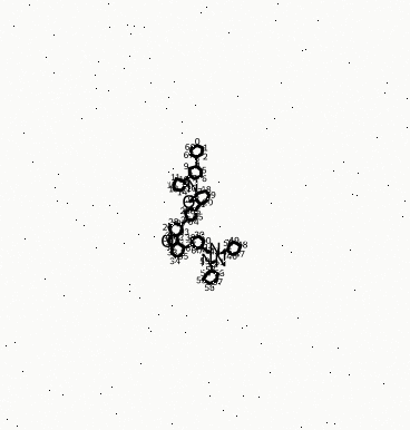 c1ccc(-c2ccc3c(c2)c2ccccc2n3-c2cccc3c2oc2cc(-c4ccc5oc6cccc(-c7cccc(-c8nc(-c9ccccc9)nc(-c9ccccc9)n8)c7)c6c5c4)ccc23)cc1